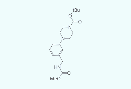 COC(=O)NCc1cccc(N2CCN(C(=O)OC(C)(C)C)CC2)c1